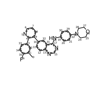 Cc1cc(-c2ncccc2-c2ccc3ncnc(Nc4ccc(N5CCOCC5)cc4)c3c2)ccc1F